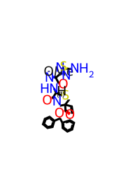 C=CC1(C(=O)OC(c2ccccc2)c2ccccc2)CS[C@@H]2C(NC(=O)C(=NOC)c3nsc(N)n3)C(=O)N2C1